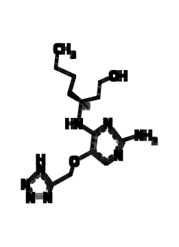 CCCC[C@@H](CCO)Nc1nc(N)ncc1OCc1nnn[nH]1